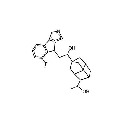 CC(O)C1C2CC3CC1CC(C(O)CC1c4c(F)cccc4-c4cncn41)(C3)C2